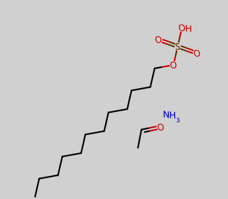 CC=O.CCCCCCCCCCCCOS(=O)(=O)O.N